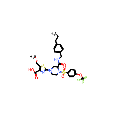 CCCc1ccc(CNC(=O)C2CN(c3nc(C(=O)O)c(COC)s3)CCN2S(=O)(=O)c2ccc(OC(F)(F)F)cc2)cc1